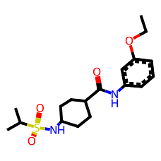 CCOc1cccc(NC(=O)C2CCC(NS(=O)(=O)C(C)C)CC2)c1